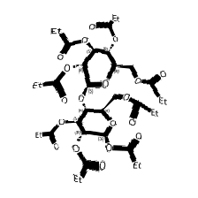 CCC(=O)OC[C@H]1O[C@@H](O[C@H]2[C@H](OC(=O)CC)[C@@H](OC(=O)CC)[C@H](OC(=O)CC)O[C@@H]2COC(=O)CC)[C@H](OC(=O)CC)[C@@H](OC(=O)CC)[C@@H]1OC(=O)CC